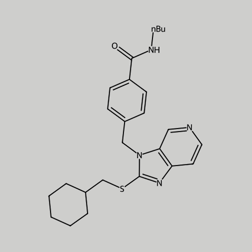 CCCCNC(=O)c1ccc(Cn2c(SCC3CCCCC3)nc3ccncc32)cc1